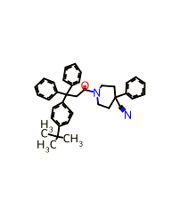 CC(C)(C)c1ccc(C(CC(=O)N2CCC(C#N)(c3ccccc3)CC2)(c2ccccc2)c2ccccc2)cc1